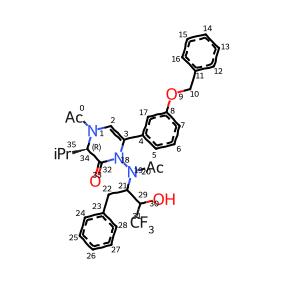 CC(=O)N1C=C(c2cccc(OCc3ccccc3)c2)N(N(C(C)=O)C(Cc2ccccc2)C(O)C(F)(F)F)C(=O)[C@H]1C(C)C